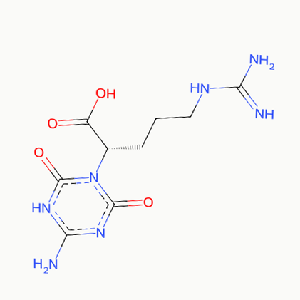 N=C(N)NCCC[C@@H](C(=O)O)n1c(=O)nc(N)[nH]c1=O